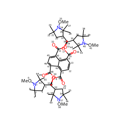 CON1C(C)(C)CC(COC(=O)c2ccc(C(=O)OCC3CC(C)(C)N(OC)C3(C)C)c3c(C(=O)OCC4CC(C)(C)N(OC)C4(C)C)ccc(C(=O)OCC4CC(C)(C)N(OC)C4(C)C)c23)C1(C)C